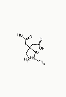 CCC(CC(=O)O)(CC(=O)O)C(=O)NC